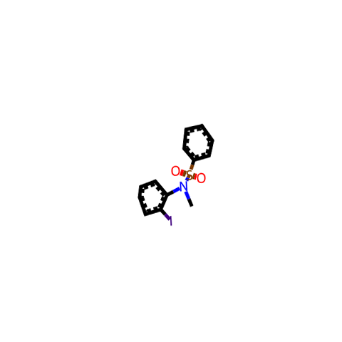 CN(c1ccccc1I)S(=O)(=O)c1ccccc1